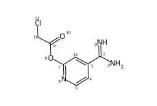 N=C(N)c1ccnc(OC(=O)CCl)c1